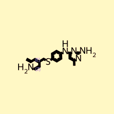 C=C/C=C(\C=C/N)CSc1ccc(Nc2cc(C)nc(N)n2)cc1